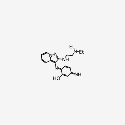 CCN(CC)CCNc1nn2ccccc2c1/N=C1\C=CC(=N)C=C1O